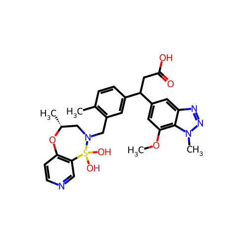 COc1cc(C(CC(=O)O)c2ccc(C)c(CN3C[C@@H](C)Oc4ccncc4S3(O)O)c2)cc2nnn(C)c12